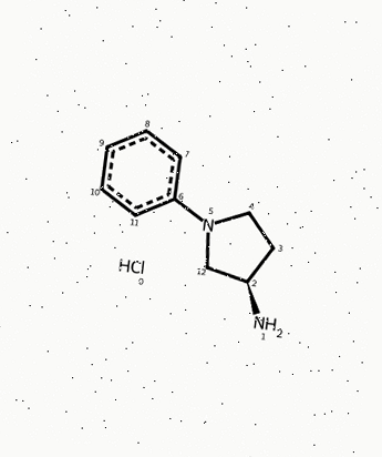 Cl.N[C@@H]1CCN(c2ccccc2)C1